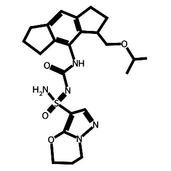 CC(C)OCC1CCc2cc3c(c(NC(=O)N=S(N)(=O)c4cnn5c4OCCC5)c21)CCC3